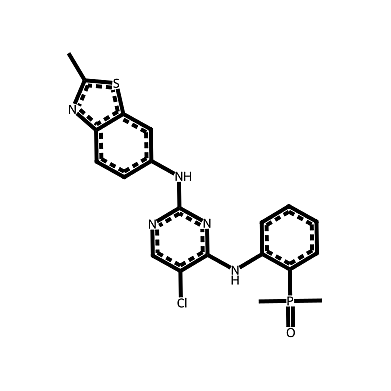 Cc1nc2ccc(Nc3ncc(Cl)c(Nc4ccccc4P(C)(C)=O)n3)cc2s1